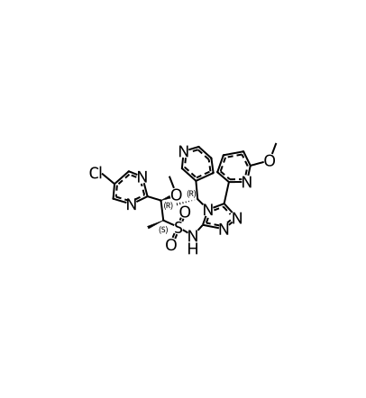 COc1cccc(-c2nnc(NS(=O)(=O)[C@@H](C)[C@H](OC)c3ncc(Cl)cn3)n2[C@H](C)c2cccnc2)n1